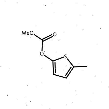 COC(=O)Oc1ccc(C)s1